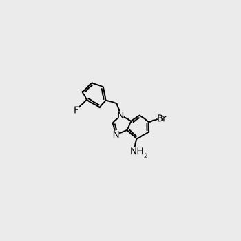 Nc1cc(Br)cc2c1ncn2Cc1cccc(F)c1